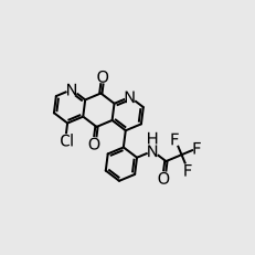 O=C1c2nccc(Cl)c2C(=O)c2c(-c3ccccc3NC(=O)C(F)(F)F)ccnc21